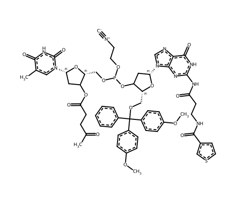 [C-]#[N+]CCOP(OC[C@H]1O[C@@H](n2cc(C)c(=O)[nH]c2=O)CC1OC(=O)CCC(C)=O)OC1C[C@H](n2cnc3c(=O)[nH]c(NC(=O)CCNC(=O)c4ccsc4)nc32)O[C@@H]1COC(c1ccccc1)(c1ccc(OC)cc1)c1ccc(OC)cc1